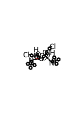 O=C(OC(CCCCc1cn(C(c2ccccc2)(c2ccccc2)c2ccccc2)cn1)CS(=O)(=O)NCc1ccc(Cl)cc1)OC(CCCCc1cn(C(c2ccccc2)(c2ccccc2)c2ccccc2)cn1)CS(=O)(=O)NCc1ccc(Cl)cc1